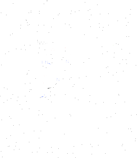 CN[C@@H](C)C(=O)N[C@H]1CN(C(=O)CCc2ccc(F)cc2)CC[C@H]2CC[C@@H](C(=O)N[C@@H]3CCc4ccccc43)N2C1=O